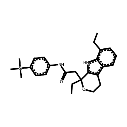 CCc1cccc2c3c([nH]c12)C(CC)(CC(=O)Nc1ccc([Si](C)(C)C)cc1)OCC3